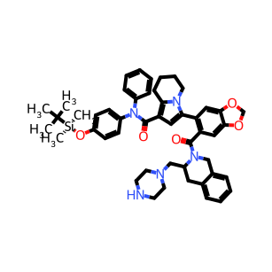 CC(C)(C)[Si](C)(C)Oc1ccc(N(C(=O)c2cc(-c3cc4c(cc3C(=O)N3Cc5ccccc5CC3CN3CCNCC3)OCO4)n3c2CCCC3)c2ccccc2)cc1